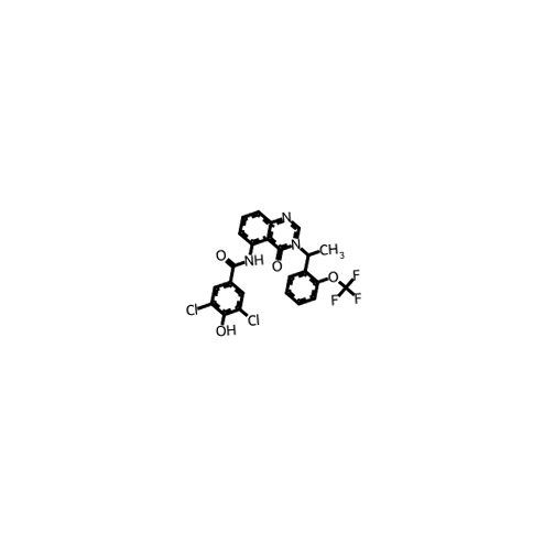 CC(c1ccccc1OC(F)(F)F)n1cnc2cccc(NC(=O)c3cc(Cl)c(O)c(Cl)c3)c2c1=O